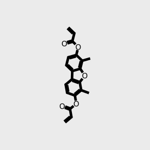 C=CC(=O)Oc1ccc2c(oc3c(C)c(OC(=O)C=C)ccc32)c1C